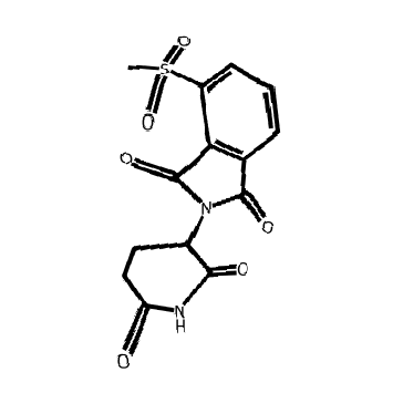 CS(=O)(=O)c1cccc2c1C(=O)N(C1CCC(=O)NC1=O)C2=O